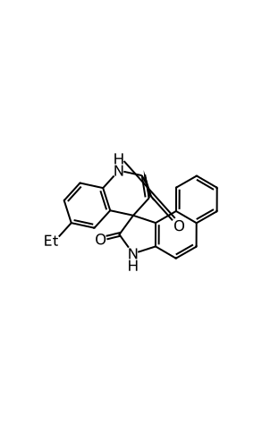 CCc1ccc2c(c1)C1(C(=O)Nc3ccc4ccccc4c31)C1=C(CCCC1=O)N2